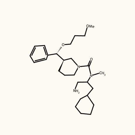 COCCCO[C@@H](c1ccccc1)[C@@H]1CCCN(C(=O)N(C)C(CN)CC2CCCCC2)C1